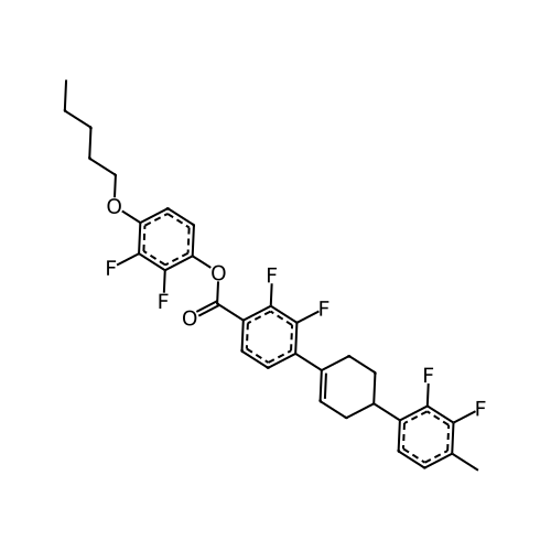 CCCCCOc1ccc(OC(=O)c2ccc(C3=CCC(c4ccc(C)c(F)c4F)CC3)c(F)c2F)c(F)c1F